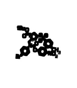 Cc1ccc(S(=O)(=O)O[C@@H]2C[C@@H](CN(C(=O)Oc3ccc([N+](=O)[O-])cc3)c3ccc(Br)cc3)N(C(=O)OC(C)(C)C)C2)cc1